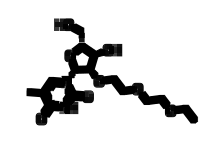 CCOCCOCCO[C@@H]1[C@H](O)[C@@H](CO)O[C@H]1n1cc(C)c(=O)[nH]c1=O